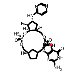 Nc1nc2c(nnn2[C@@]23CC[C@H](COP(=O)(S)O[C@@H]4[C@@H](COP(=O)(S)O2)C[C@@H](Nc2ccncn2)[C@@H]4F)C3)c(=O)[nH]1